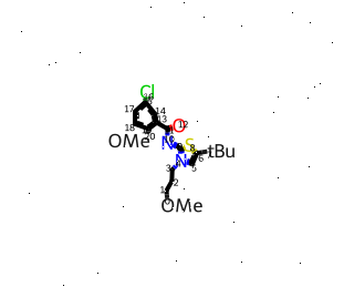 COCCCn1cc(C(C)(C)C)sc1=NC(=O)c1cc(Cl)ccc1OC